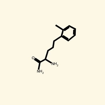 Cc1ccccc1CCCC(N)C(N)=O